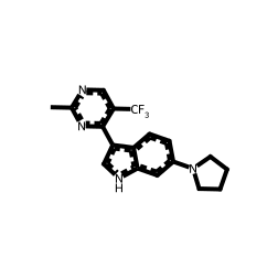 Cc1ncc(C(F)(F)F)c(-c2c[nH]c3cc(N4CCCC4)ccc23)n1